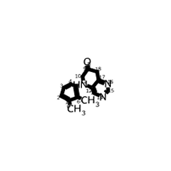 Cc1ccccc1C.O=C1CNc2cncnc2C1